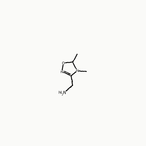 CC1ON=C(CN)N1C